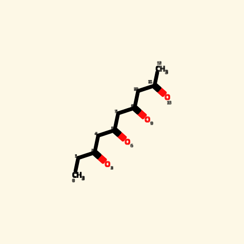 CCC(=O)CC(=O)CC(=O)CC(C)=O